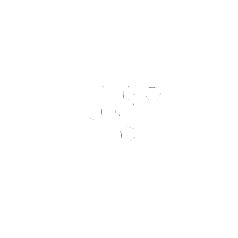 CCCCn1c(-c2ccccc2)nc(C=O)c1CN(CC1=CC2OCOC2C=C1)Cc1ccc2c(c1)OCO2